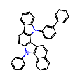 c1ccc(-c2cccc(-n3c4ccccc4c4ccc5c(c6ccc7ccccc7c6n5-c5ccccc5)c43)c2)cc1